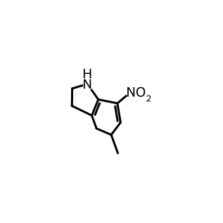 CC1C=C([N+](=O)[O-])C2=C(CCN2)C1